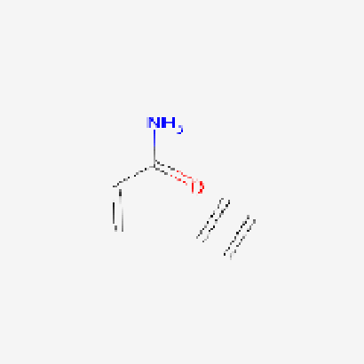 C=C.C=C.C=CC(N)=O